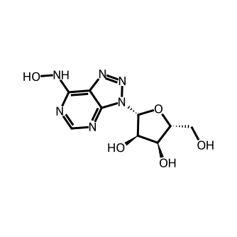 OC[C@H]1O[C@@H](n2nnc3c(NO)ncnc32)[C@H](O)[C@@H]1O